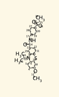 CCOc1ccc2c(c1)Sc1ccc(C(=O)NCc3ccc(S(=O)(=O)CC)cc3)cc1N2C(C)C